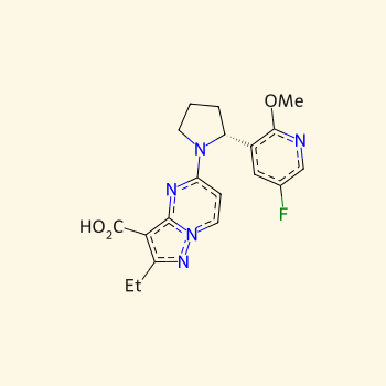 CCc1nn2ccc(N3CCC[C@@H]3c3cc(F)cnc3OC)nc2c1C(=O)O